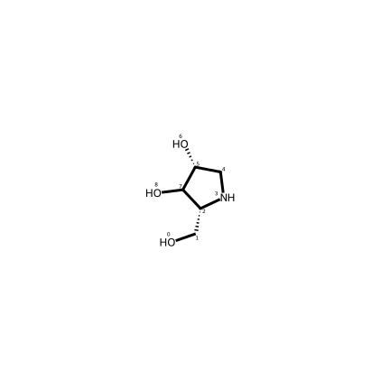 OC[C@H]1NC[C@@H](O)C1O